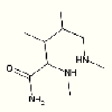 CNCC(C)C(C)C(NC)C(N)=O